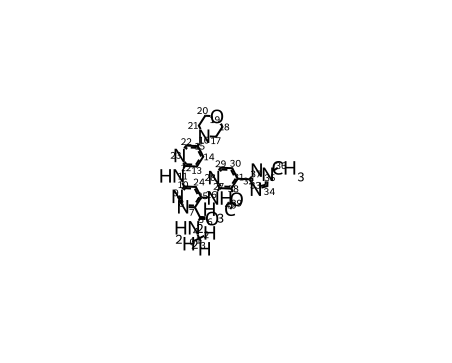 [2H]C([2H])([2H])NC(=O)c1nnc(Nc2ccc(N3CCOCC3)cn2)cc1Nc1nccc(-c2ncn(C)n2)c1OC